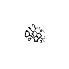 C#CCN(C(=O)OC(C)(C)C)c1ccc(S(C)(=O)=O)c2ccn(S(=O)(=O)c3ccccc3)c12